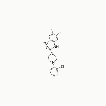 COc1cc(C)c(C)cc1NC(=O)N1CCN(c2ccccc2Cl)CC1